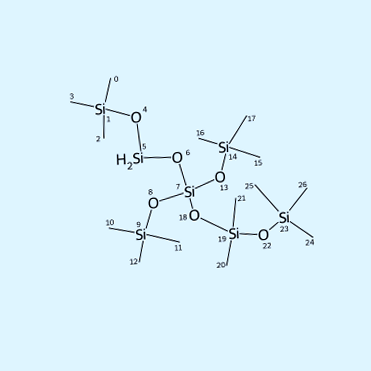 C[Si](C)(C)O[SiH2]O[Si](O[Si](C)(C)C)(O[Si](C)(C)C)O[Si](C)(C)O[Si](C)(C)C